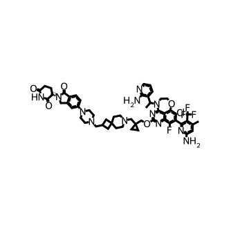 Cc1cc(N)nc(-c2c(Cl)c3c4c(nc(OCC5(CN6CCC7(CC6)CC(CN6CCN(c8ccc9c(c8)CN([C@H]8CCC(=O)NC8=O)C9=O)CC6)C7)CC5)nc4c2F)N(C(C)c2cccnc2N)CCO3)c1C(F)(F)F